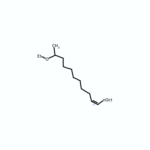 CCCCCCCC/C=C\CCCCCCCC(C)OCC